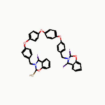 SC1Oc2ccccc2C(I)N1Cc1ccc(Oc2ccc(Oc3ccc(Oc4ccc(CN5C(I)Oc6ccccc6C5I)cc4)cc3)cc2)cc1